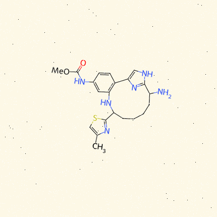 COC(=O)Nc1ccc2c(c1)NC(c1nc(C)cs1)CCCCC(N)c1nc-2c[nH]1